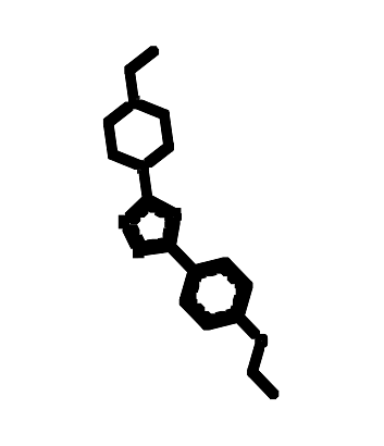 CCOc1ccc(-c2nnc(N3CCN(CC)CC3)s2)cc1